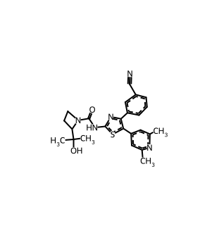 Cc1cc(-c2sc(NC(=O)N3CCC3C(C)(C)O)nc2-c2cccc(C#N)c2)cc(C)n1